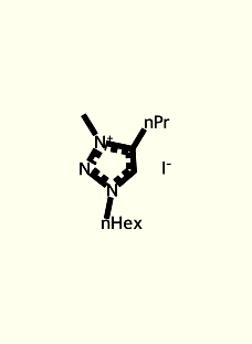 CCCCCCn1cc(CCC)[n+](C)n1.[I-]